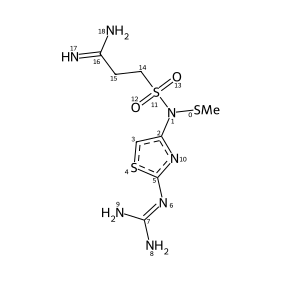 CSN(c1csc(N=C(N)N)n1)S(=O)(=O)CCC(=N)N